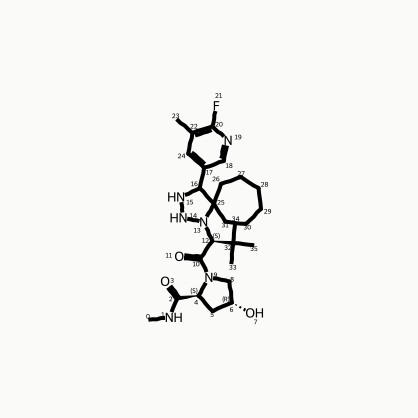 CNC(=O)[C@@H]1C[C@@H](O)CN1C(=O)[C@@H](N1NNC(c2cnc(F)c(C)c2)C12CCCCCC2)C(C)(C)C